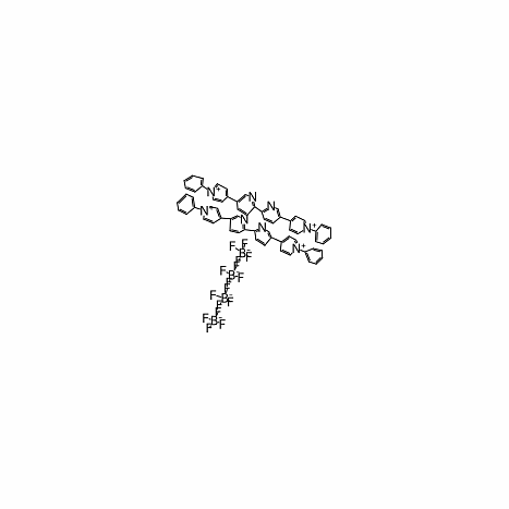 F[B-](F)(F)F.F[B-](F)(F)F.F[B-](F)(F)F.F[B-](F)(F)F.c1ccc(-[n+]2ccc(-c3ccc(-c4ccc(-c5cc[n+](-c6ccccc6)cc5)cn4)nc3)cc2)cc1.c1ccc(-[n+]2ccc(-c3ccc(-c4ccc(-c5cc[n+](-c6ccccc6)cc5)cn4)nc3)cc2)cc1